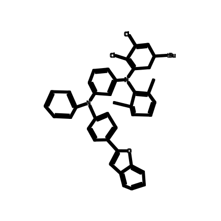 Cc1cccc(C)c1N(C1=C(Cl)C(Cl)=CC(C(C)(C)C)C1)c1cccc(N(c2ccccc2)c2ccc(-c3cc4ccccc4o3)cc2)c1